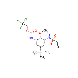 CCS(=O)(=O)Nc1cc(C(C)(C)C)cc(NC(=O)OCC(Cl)(Cl)Cl)c1OC